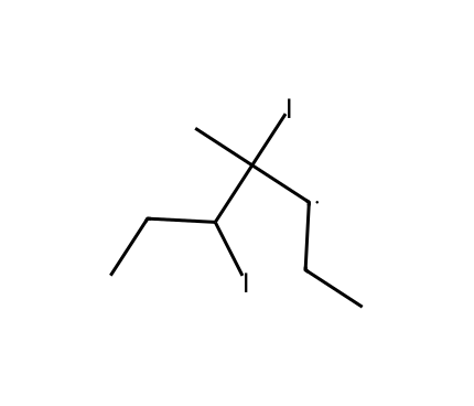 CC[CH]C(C)(I)C(I)CC